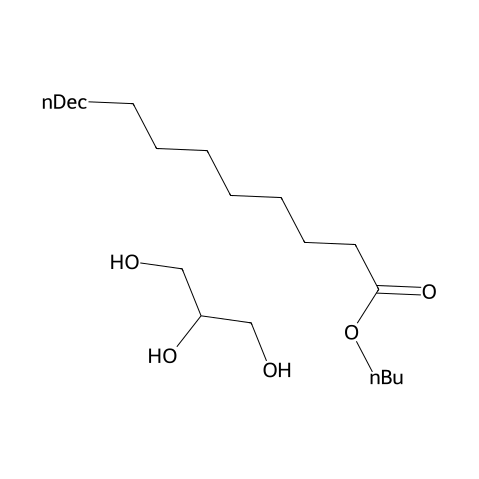 CCCCCCCCCCCCCCCCCC(=O)OCCCC.OCC(O)CO